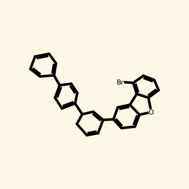 Brc1cccc2oc3ccc(C4=CC(c5ccc(-c6ccccc6)cc5)CC=C4)cc3c12